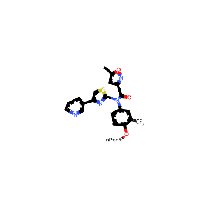 CCCCCOc1ccc(N(C(=O)c2cc(C)on2)c2nc(-c3cccnc3)cs2)cc1C(F)(F)F